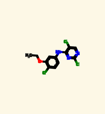 CCOc1cc(Nc2nc(Cl)ncc2Cl)ccc1Cl